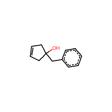 OC1(Cc2ccccc2)CC=CC1